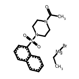 CC(=O)N1CCN(S(=O)(=O)c2cccc3ccccc23)CC1.C[CH2][Mg][Br]